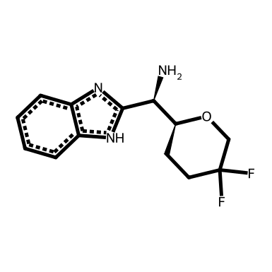 N[C@H](c1nc2ccccc2[nH]1)[C@@H]1CCC(F)(F)CO1